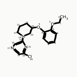 CCOc1ccccc1OC1CCCN(c2cncc(Cl)n2)C1